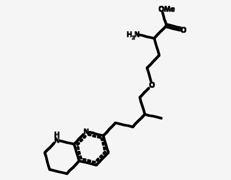 COC(=O)C(N)CCOCC(C)CCc1ccc2c(n1)NCCC2